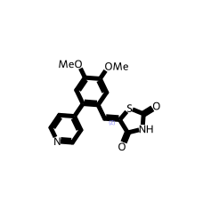 COc1cc(/C=C2\SC(=O)NC2=O)c(-c2ccncc2)cc1OC